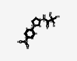 O=C(N[C@H]1CCN(c2ccc([N+](=O)[O-])cc2)C1)C(F)(F)F